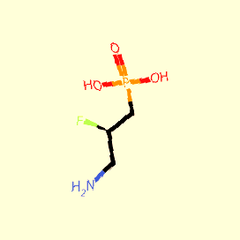 NC[C@@H](F)CP(=O)(O)O